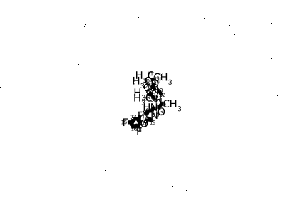 CC(C(=O)Nc1cnc(Oc2c(F)cc(F)cc2F)cn1)N1CCN(C(=O)OC(C)(C)C)C(C)(C)C1